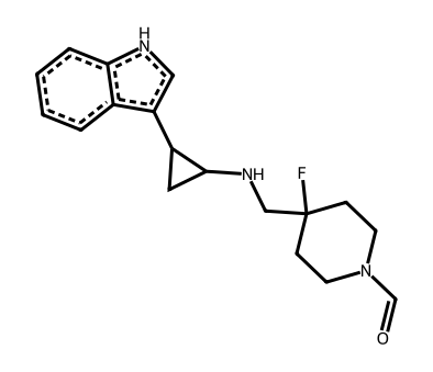 O=CN1CCC(F)(CNC2CC2c2c[nH]c3ccccc23)CC1